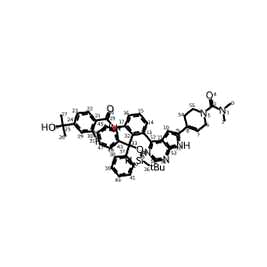 CN(C)C(=O)N1CC=C(c2cc3c(-c4cccc(NC(=O)c5ccc(C(C)(C)O)cc5F)c4C(O[SiH2]C(C)(C)C)(c4ccccc4)c4ccccc4)ncnc3[nH]2)CC1